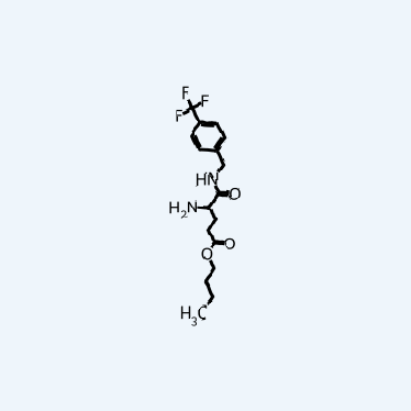 CCCCOC(=O)CCC(N)C(=O)NCc1ccc(C(F)(F)F)cc1